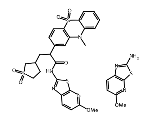 COc1ccc2nc(N)sc2n1.COc1ccc2nc(NC(=O)C(CC3CCS(=O)(=O)C3)c3ccc4c(c3)N(C)c3ccccc3S4(=O)=O)sc2n1